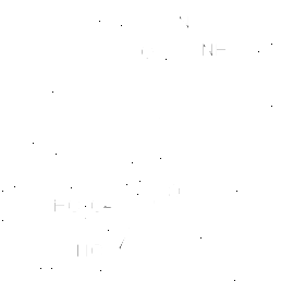 CC(O)[C@@H]1CC(=O)C(CCCCCCC(=O)c2ncc[nH]2)[C@@H]1C(=O)O